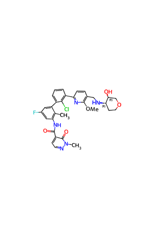 COc1nc(-c2cccc(-c3cc(F)cc(NC(=O)c4ccnn(C)c4=O)c3C)c2Cl)ccc1CN[C@@H]1CCOC[C@@H]1O